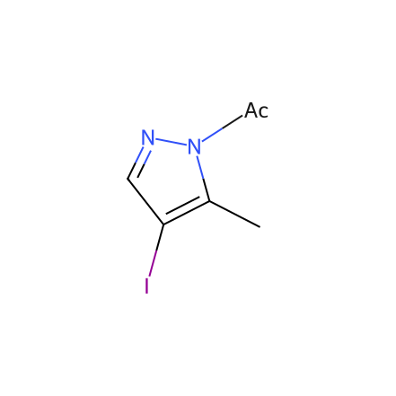 CC(=O)n1ncc(I)c1C